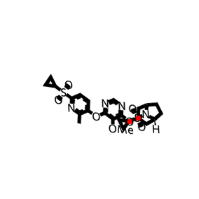 COc1c(Oc2ccc(S(=O)(=O)C3CC3)nc2C)ncnc1OC1CC2CC[C@@H](C1)N2S(=O)(=O)C1CC1